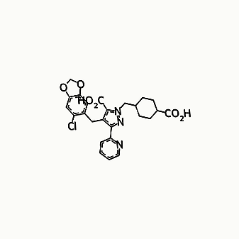 O=C(O)c1c(Cc2cc3c(cc2Cl)OCO3)c(-c2ccccn2)nn1CC1CCC(C(=O)O)CC1